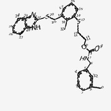 Cc1cccc(CNC(=O)OCCSc2cccc(CSc3nc4ccccc4[nH]3)c2C)c1